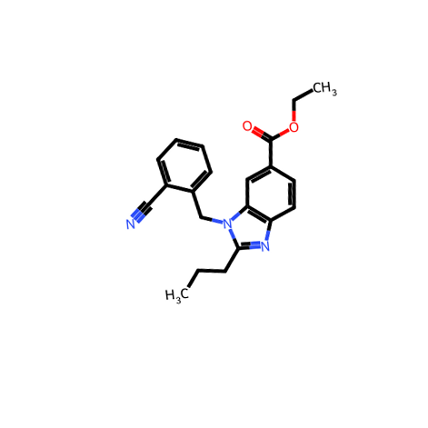 CCCc1nc2ccc(C(=O)OCC)cc2n1Cc1ccccc1C#N